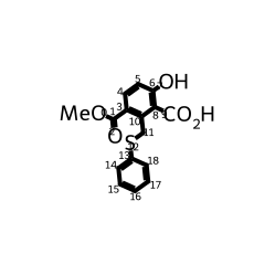 COC(=O)c1ccc(O)c(C(=O)O)c1CSc1ccccc1